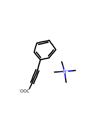 C[N+](C)(C)C.O=C([O-])C#Cc1ccccc1